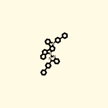 c1ccc(-c2ccc(-c3nc(-n4c5ccc6c(c7ccccc7n6-c6ccc(-c7ccccc7)cc6)c5c5ccc6ccccc6c54)nc4ccccc34)cc2)cc1